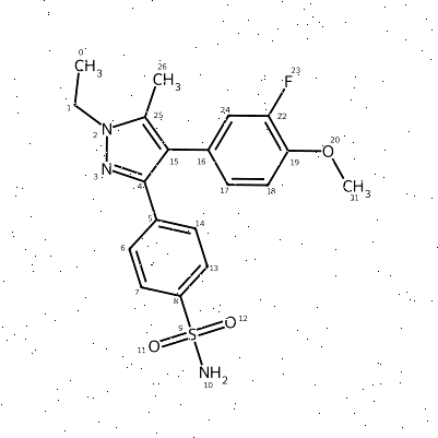 CCn1nc(-c2ccc(S(N)(=O)=O)cc2)c(-c2ccc(OC)c(F)c2)c1C